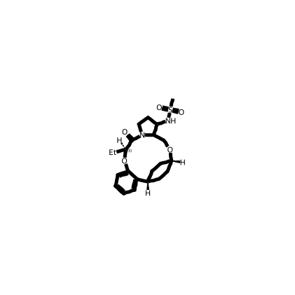 CC[C@@H]1Oc2ccccc2[C@H]2CC[C@H](CC2)OCC2C(NS(C)(=O)=O)CCN2C1=O